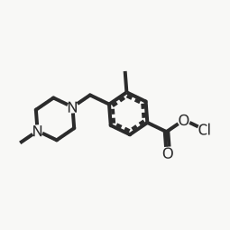 Cc1cc(C(=O)OCl)ccc1CN1CCN(C)CC1